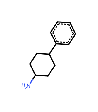 NC1CC[C](c2ccccc2)CC1